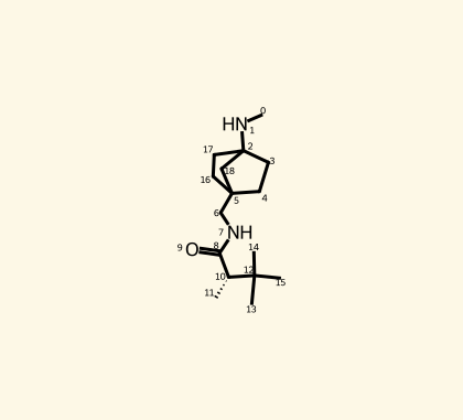 CNC12CCC(CNC(=O)[C@@H](C)C(C)(C)C)(CC1)C2